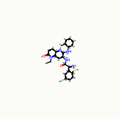 CCn1c(=O)ccc2nc(Nc3ccccc3C)c(NC(=O)c3nsc4ccc(F)cc34)cc21